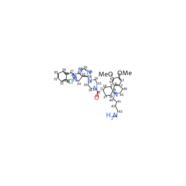 COc1cc2c(cc1OC)[C@]1(CC[C@@H](C(=O)N3CCN(c4ncnc5c4cnn5Cc4ccccc4Cl)CC3)CC1)N(CCCCN)CC2